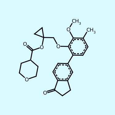 COc1c(C)ccc(-c2ccc3c(c2)CCC3=O)c1OCC1(OC(=O)C2CCOCC2)CC1